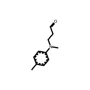 Cc1ccc(N(C)CCC=O)cc1